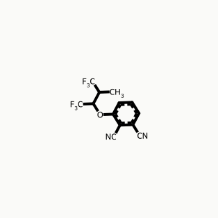 CC(C(Oc1cccc(C#N)c1C#N)C(F)(F)F)C(F)(F)F